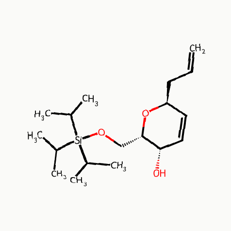 C=CC[C@H]1C=C[C@H](O)[C@H](CO[Si](C(C)C)(C(C)C)C(C)C)O1